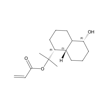 C=CC(=O)OC(C)(C)[C@@H]1CCCC2[C@H](O)CCC[C@@H]21